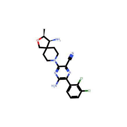 C[C@@H]1OCC2(CCN(c3nc(N)c(-c4cccc(Cl)c4Cl)nc3C#N)CC2)[C@@H]1N